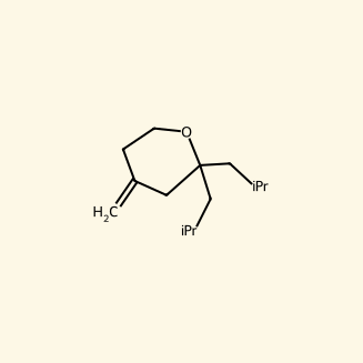 C=C1CCOC(CC(C)C)(CC(C)C)C1